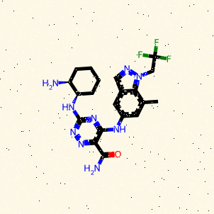 Cc1cc(Nc2nc(N[C@@H]3CCCC[C@@H]3N)nnc2C(N)=O)cc2cnn(CC(F)(F)F)c12